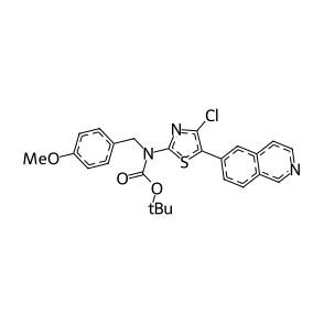 COc1ccc(CN(C(=O)OC(C)(C)C)c2nc(Cl)c(-c3ccc4cnccc4c3)s2)cc1